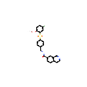 CCCCOc1ccc(Cl)cc1S(=O)(=O)c1ccc(CNC(=O)c2ccc3ccncc3c2)cc1